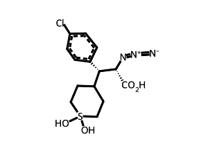 [N-]=[N+]=N[C@H](C(=O)O)[C@@H](c1ccc(Cl)cc1)C1CCS(O)(O)CC1